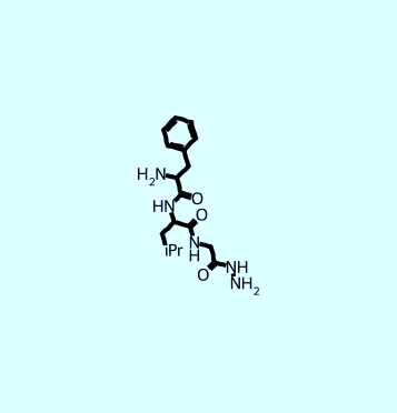 CC(C)CC(NC(=O)C(N)Cc1ccccc1)C(=O)NCC(=O)NN